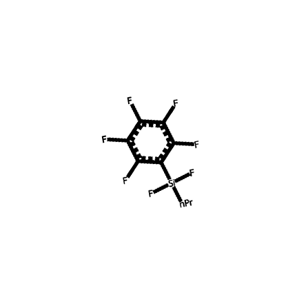 CCC[Si](F)(F)c1c(F)c(F)c(F)c(F)c1F